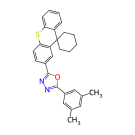 Cc1cc(C)cc(-c2nnc(-c3ccc4c(c3)C3(CCCCC3)c3ccccc3S4)o2)c1